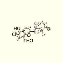 Cc1c(Cl)c(O)c2c(c1C=O)OC(/C=C/C1(C)C(C)CCC(=O)C1C)CC2